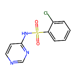 O=S(=O)(Nc1ccncn1)c1ccccc1Cl